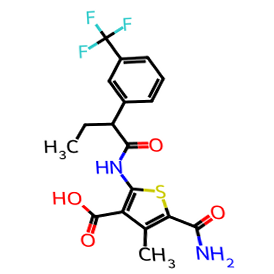 CCC(C(=O)Nc1sc(C(N)=O)c(C)c1C(=O)O)c1cccc(C(F)(F)F)c1